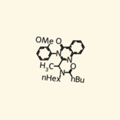 CCCCCCN(C(=O)CCCC)C(C)c1nc2ccccc2c(=O)n1-c1ccccc1OC